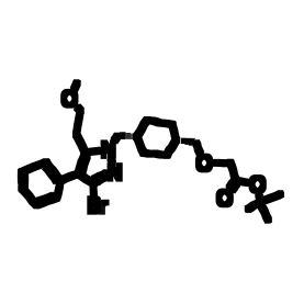 COCCc1c(-c2ccccc2)c(Br)nn1C[C@H]1CC[C@@H](COCC(=O)OC(C)(C)C)CC1